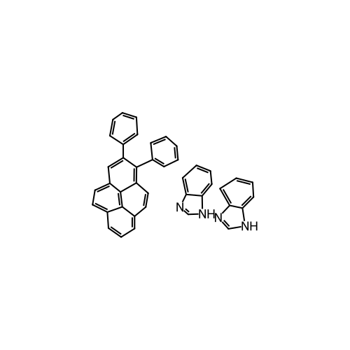 c1ccc(-c2cc3ccc4cccc5ccc(c2-c2ccccc2)c3c45)cc1.c1ccc2[nH]cnc2c1.c1ccc2[nH]cnc2c1